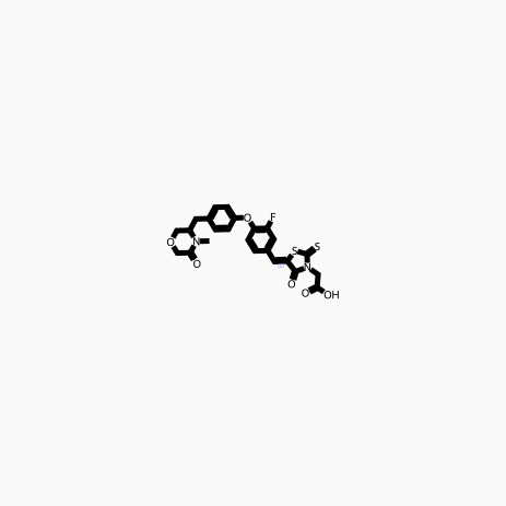 CN1C(=O)COCC1Cc1ccc(Oc2ccc(/C=C3\SC(=S)N(CC(=O)O)C3=O)cc2F)cc1